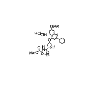 CCC1CC1(NC(=O)C1CC(Oc2cc(-c3ccccc3)nc3cc(OC)ccc23)CN1)C(=O)OC.Cl.Cl